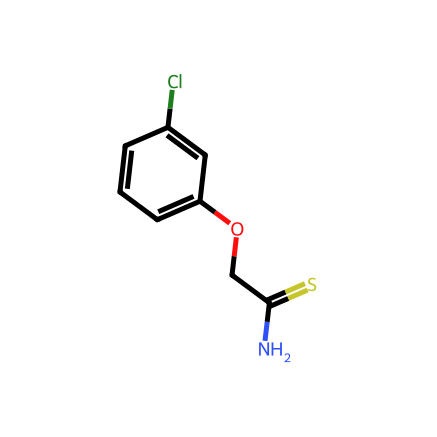 NC(=S)COc1cccc(Cl)c1